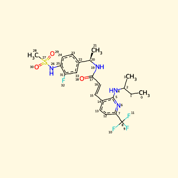 CCC(C)Nc1nc(C(F)(F)F)ccc1C=CC(=O)N[C@H](C)c1ccc(NS(C)(=O)=O)c(F)c1